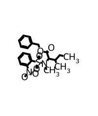 CCC(C)C(C(=O)OCc1ccccc1)N(C)S(=O)(=O)c1ccccc1[N+](=O)[O-]